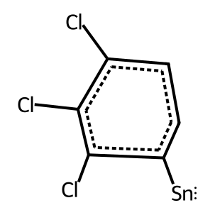 Clc1cc[c]([Sn])c(Cl)c1Cl